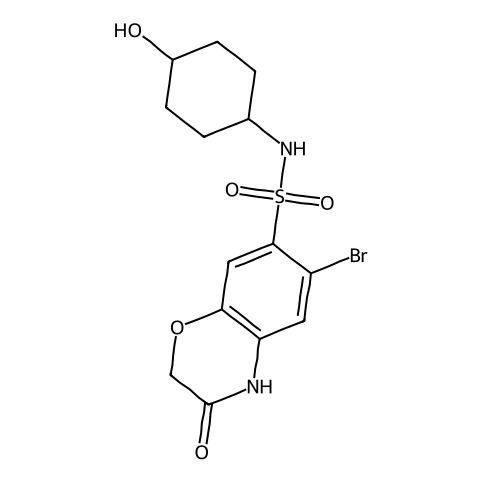 O=C1COc2cc(S(=O)(=O)NC3CCC(O)CC3)c(Br)cc2N1